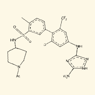 CC(=O)N1CCC(NS(=O)(=O)c2cc(-c3c(Cl)cc(Nc4n[nH]c(N)n4)cc3C(F)(F)F)ccc2C)CC1